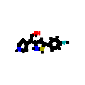 OCC(c1ccncc1)c1cc(-c2ccc(F)cc2)sn1